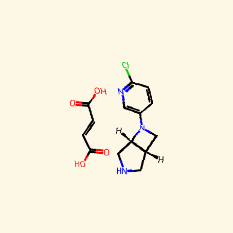 Clc1ccc(N2C[C@@H]3CNC[C@@H]32)cn1.O=C(O)/C=C/C(=O)O